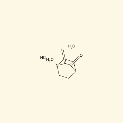 C=C1C(=O)C2CCN1CC2.Cl.O.O